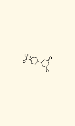 CC(=O)c1ccc(C2CC(=O)CC(=O)C2)cc1